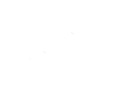 C/C(=N/CCOCC/N=C(/C)c1ccc(C(=O)O)cc1)c1ccc(C(=O)O)cc1